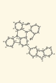 CC(C)c1ccccc1N1c2cc(-c3ccc4oc5ccccc5c4c3)cc3c2B(c2ccccc2-3)c2cccc(C(C)C)c21